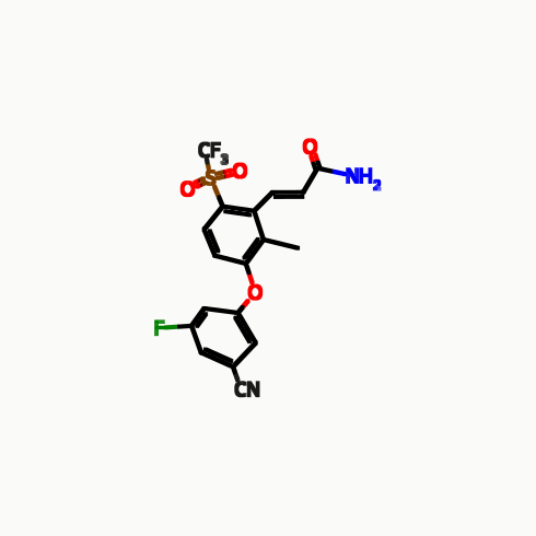 Cc1c(Oc2cc(F)cc(C#N)c2)ccc(S(=O)(=O)C(F)(F)F)c1C=CC(N)=O